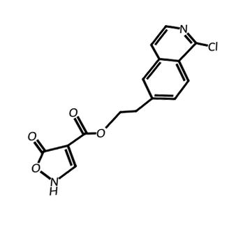 O=C(OCCc1ccc2c(Cl)nccc2c1)c1c[nH]oc1=O